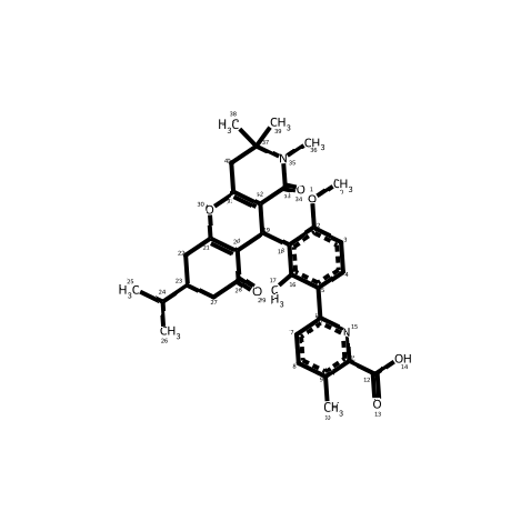 COc1ccc(-c2ccc(C)c(C(=O)O)n2)c(C)c1C1C2=C(CC(C(C)C)CC2=O)OC2=C1C(=O)N(C)C(C)(C)C2